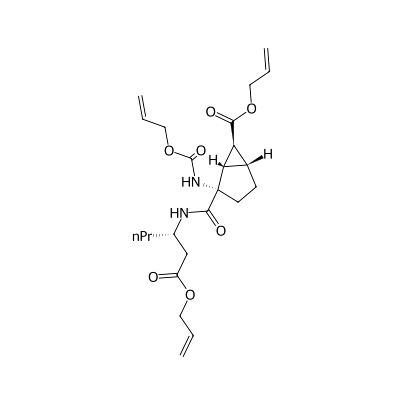 C=CCOC(=O)C[C@H](CCC)NC(=O)[C@]1(NC(=O)OCC=C)CC[C@H]2[C@H](C(=O)OCC=C)[C@H]21